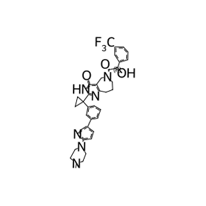 CN1CCN(c2ccc(-c3cccc(C4(c5nc6c(c(=O)[nH]5)CN(C(=O)[C@H](O)c5cccc(C(F)(F)F)c5)CCC6)CC4)c3)cn2)CC1